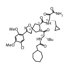 COc1cc(OC)c(C2=NO[C@]3(C2)C[C@@H](C(=O)N[C@@H](CC2CC2)C(=O)C(N)=O)N(C(=O)[C@@H](NC(=O)CC2CCCCCC2)C(C)(C)C)C3)cc1Cl